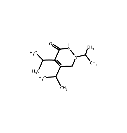 CC(C)C1=C(C(C)C)C(=O)NN(C(C)C)C1